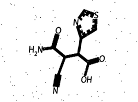 N#CC(C(N)=O)C(C(=O)O)c1cscn1